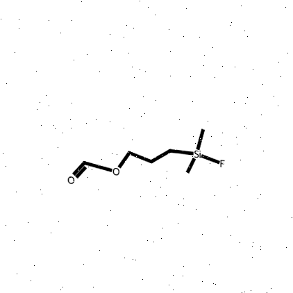 C[Si](C)(F)CCCOC=O